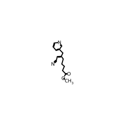 COC(=O)CCCCC(=CC#N)Cc1cccnc1